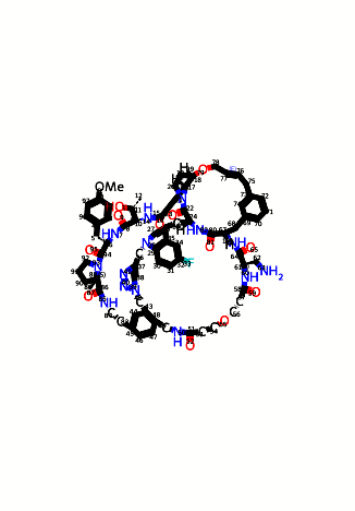 COc1ccc(C[C@@H]2NC(=O)[C@H]([C@@H](C)O)NC(=O)[C@@H]3[C@@H]4CCN3C(=O)[C@@H]3Cc5cn(c6ccc(F)cc56)Cc5cn(nn5)Cc5cc(ccc5CNC(=O)CCOCCC(=O)N[C@H](CN)C(=O)N[C@@H](Cc5cccc(c5)C/C=C/CO4)C(=O)N3)CCNC(=O)[C@]3(C)CCCN3C2=O)cc1